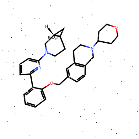 CCOC(=O)[C@@]12CCN(c3cccc(-c4ccccc4OCc4ccc5c(c4)CCN(C4CCOCC4)C5)n3)C[C@@H]1C2